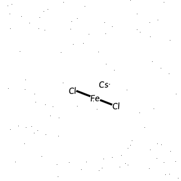 [Cl][Fe][Cl].[Cs]